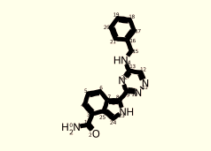 NC(=O)c1cccc2c(-c3nncc(NCc4ccccc4)n3)[nH]cc12